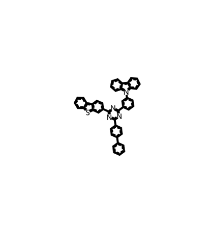 c1ccc(-c2ccc(-c3nc(-c4cccc(-n5c6ccccc6c6ccccc65)c4)nc(-c4ccc5c(c4)sc4ccccc45)n3)cc2)cc1